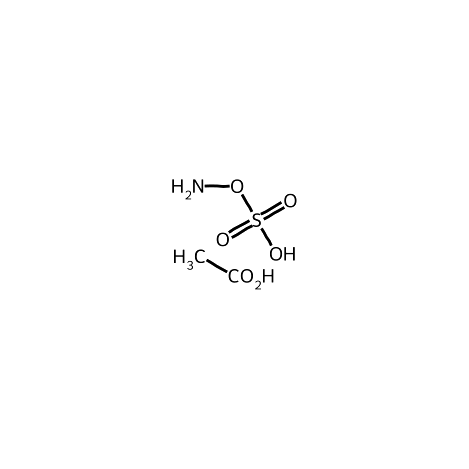 CC(=O)O.NOS(=O)(=O)O